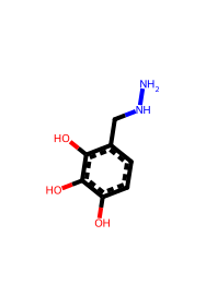 NNCc1ccc(O)c(O)c1O